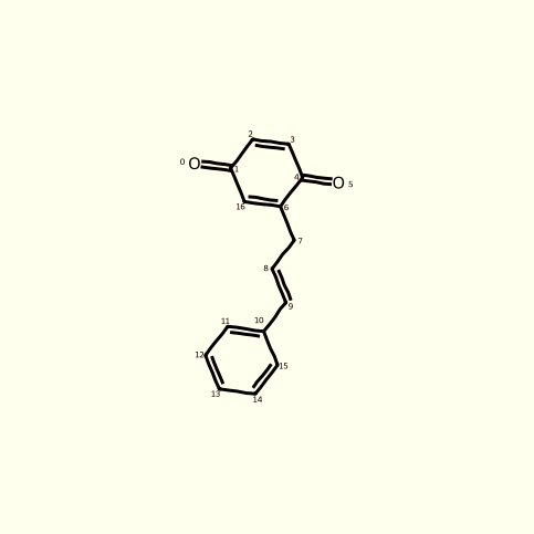 O=C1C=CC(=O)C(CC=Cc2ccccc2)=C1